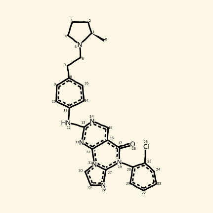 C[C@@H]1CCCN1CCc1ccc(Nc2ncc3c(=O)n(-c4ccccc4Cl)c4nccn4c3n2)cc1